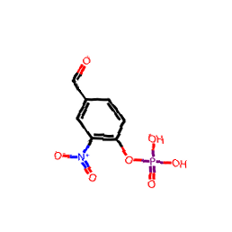 O=Cc1ccc(OP(=O)(O)O)c([N+](=O)[O-])c1